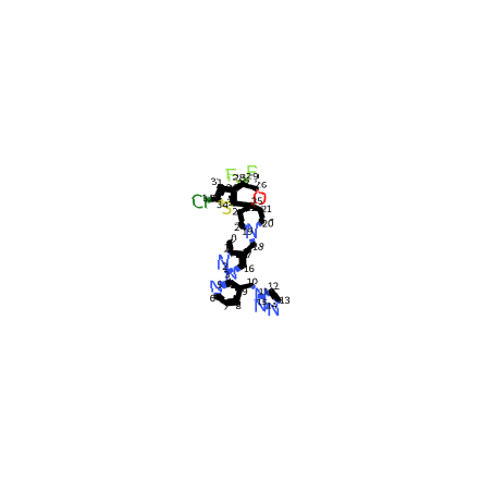 Cc1nn(-c2ncccc2Cn2ccnn2)cc1CN1CCC2(CC1)OCC(F)(F)c1cc(Cl)sc12